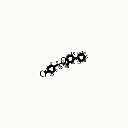 Clc1ccc(CSc2nc3cc(-c4ccccc4)ccc3o2)cc1